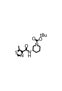 Cc1scnc1C(=O)N[C@H]1CCCN(C(=O)OC(C)(C)C)C1